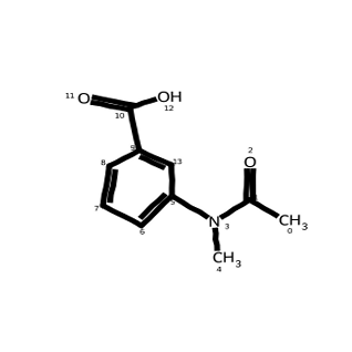 CC(=O)N(C)c1cccc(C(=O)O)c1